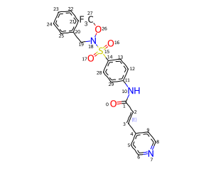 O=C(/C=C/c1ccncc1)Nc1ccc(S(=O)(=O)N(Cc2ccccc2)OC(F)(F)F)cc1